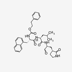 CC(C)C[C@H](NC(=O)[C@H](Cc1cccc2ccccc12)NC(=O)OCCc1ccccc1)C(=O)N[C@H](C=O)C[C@@H]1CCNC1=O